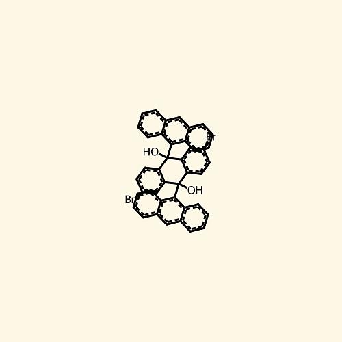 OC1(c2c3ccccc3cc3ccccc23)c2ccc(Br)cc2C(O)(c2c3ccccc3cc3ccccc23)c2ccc(Br)cc21